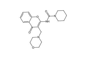 O=C(Nc1oc2ccccc2c(=O)c1CN1CCOCC1)N1CCCCC1